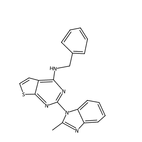 Cc1nc2ccccc2n1-c1nc(NCc2ccccc2)c2ccsc2n1